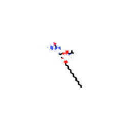 CCCCC=CCCCCCCCC(=O)OCC[C@@H](COC(=O)[C@@H](N)C(C)C)Cn1cnc2c(=O)[nH]c(N)nc21